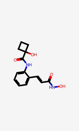 O=C(/C=C/c1ccccc1NC(=O)C1(O)CCC1)NO